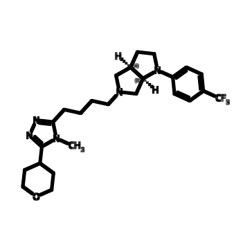 Cn1c(CCCCN2C[C@H]3CCN(c4ccc(C(F)(F)F)cc4)[C@H]3C2)nnc1C1CCOCC1